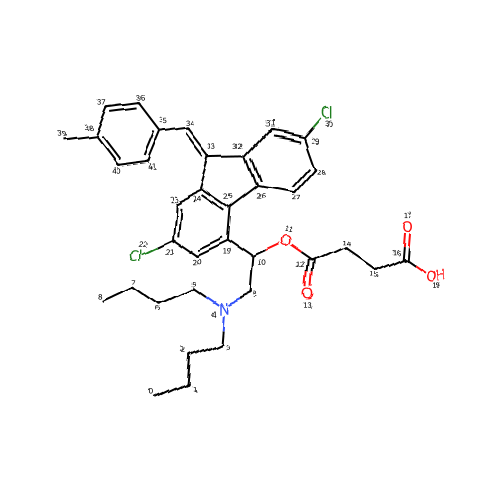 CCCCN(CCCC)CC(OC(=O)CCC(=O)O)c1cc(Cl)cc2c1-c1ccc(Cl)cc1/C2=C/c1ccc(C)cc1